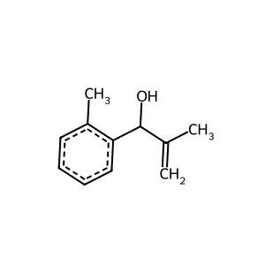 C=C(C)C(O)c1ccccc1C